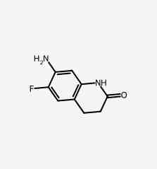 Nc1cc2c(cc1F)CCC(=O)N2